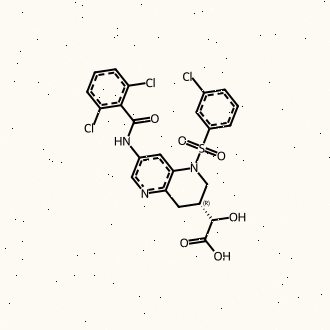 O=C(Nc1cnc2c(c1)N(S(=O)(=O)c1cccc(Cl)c1)C[C@H](C(O)C(=O)O)C2)c1c(Cl)cccc1Cl